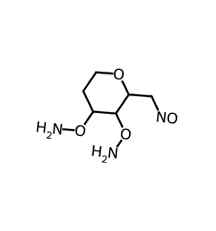 NOC1CCOC(CN=O)C1ON